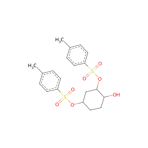 Cc1ccc(S(=O)(=O)OC2CCC(O)C(OS(=O)(=O)c3ccc(C)cc3)C2)cc1